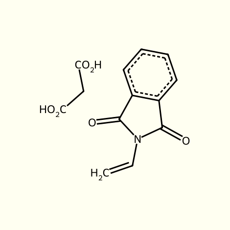 C=CN1C(=O)c2ccccc2C1=O.O=C(O)CC(=O)O